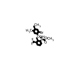 CCc1cc(Br)c(OCc2c(C(F)F)cccc2N(O)C(=O)OC)cc1C